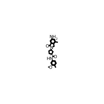 COc1cc(NC(=O)[C@@H]2CC[C@@H](N3Cc4c(C)cc(N)cc4C3=O)C2)ccc1C